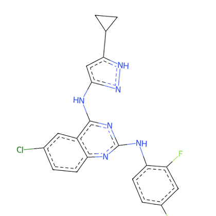 Fc1ccc(Nc2nc(Nc3cc(C4CC4)[nH]n3)c3cc(Cl)ccc3n2)c(F)c1